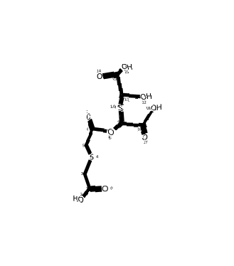 O=C(O)CSCC(=O)OC(SC(O)C(=O)O)C(=O)O